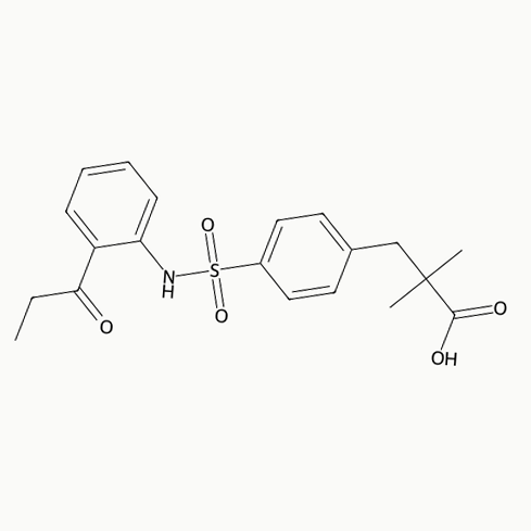 CCC(=O)c1ccccc1NS(=O)(=O)c1ccc(CC(C)(C)C(=O)O)cc1